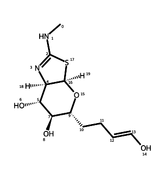 CNC1=N[C@@H]2[C@@H](O)[C@H](O)[C@@H](CCC=CO)O[C@@H]2S1